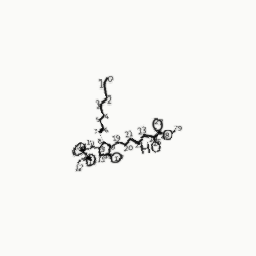 CCCCCCC=C[C@H]1[C@H](CS(C)(=O)=O)CC(=O)[C@@H]1CCCCCC(O)C(=O)OC